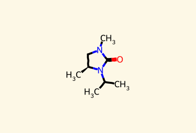 CC(C)N1C(=O)N(C)C[C@@H]1C